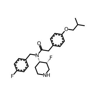 CC(C)COc1ccc(CC(=O)N(Cc2ccc(F)cc2)[C@H]2CCNC[C@H]2F)cc1